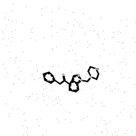 O=C(Cc1ccccc1)c1cccc2c1cnn2CN1CCNCC1